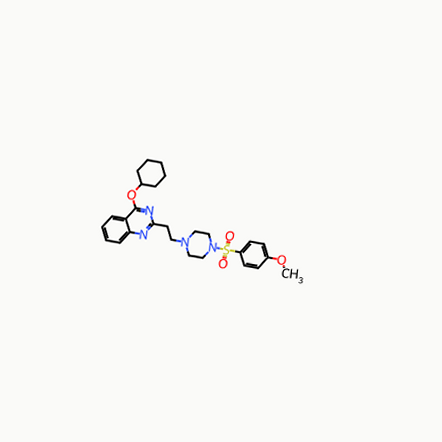 COc1ccc(S(=O)(=O)N2CCN(CCc3nc(OC4CCCCC4)c4ccccc4n3)CC2)cc1